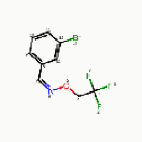 FC(F)(F)CO/N=[C]\c1cccc(Br)c1